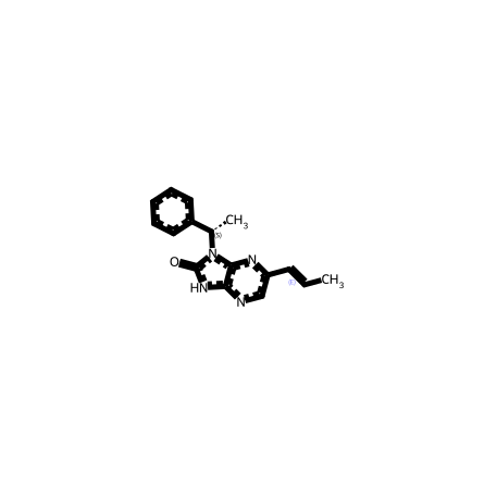 C/C=C/c1cnc2[nH]c(=O)n([C@@H](C)c3ccccc3)c2n1